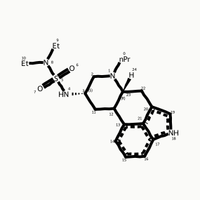 CCCN1C[C@@H](NS(=O)(=O)N(CC)CC)CC2c3cccc4[nH]cc(c34)C[C@H]21